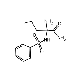 CCCC(N)(NS(=O)(=O)c1ccccc1)C(N)=O